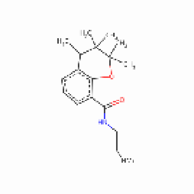 CNCCNC(=O)c1cccc2c1OC(C)(C)C(C)(C)C2C